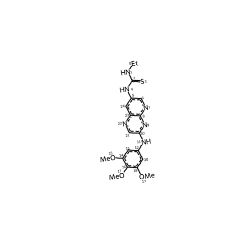 CCNC(=S)Nc1cnc2nc(Nc3cc(OC)c(OC)c(OC)c3)cnc2c1